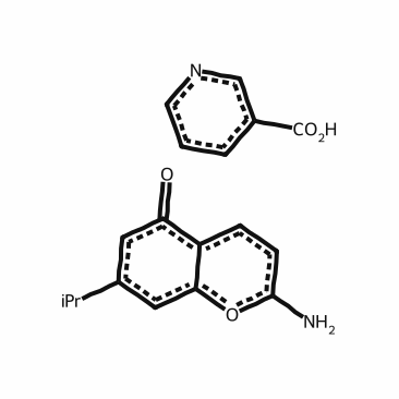 CC(C)c1cc2oc(N)ccc-2c(=O)c1.O=C(O)c1cccnc1